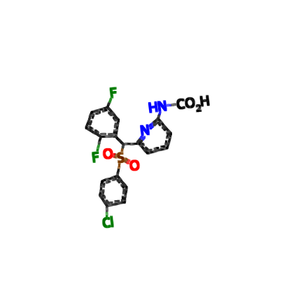 O=C(O)Nc1cccc(C(c2cc(F)ccc2F)S(=O)(=O)c2ccc(Cl)cc2)n1